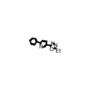 CCc1nnc(-c2ccc(-c3ccccc3)nc2)o1